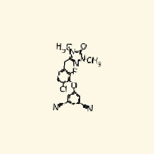 Cn1nc(Cc2ccc(Cl)c(Oc3cc(C#N)cc(C#N)c3)c2F)n(C)c1=O